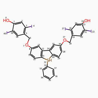 Oc1cc(I)c(COc2ccc3c(c2)-c2cc(OCc4cc(I)c(O)cc4I)ccc2[SH]3c2ccccc2)cc1I